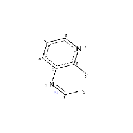 C/C=N\c1cccnc1C